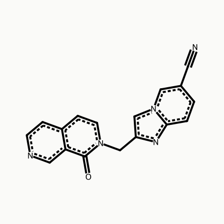 N#Cc1ccc2nc(Cn3ccc4ccncc4c3=O)cn2c1